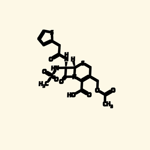 CC(=O)OCC1=C(C(=O)O)N2C(=O)[C@@](NC(=O)Cc3cccs3)(NS(C)(=O)=O)[C@H]2SC1